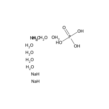 N.O.O.O.O.O.O.O.O=P(O)(O)O.[NaH].[NaH]